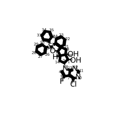 O[C@H]1[C@H](n2cc(F)c3c(Cl)ncnc32)C[C@@H]2[C@@H](O[Si](c3ccccc3)(c3ccccc3)c3ccccc3)CC[C@@]21O